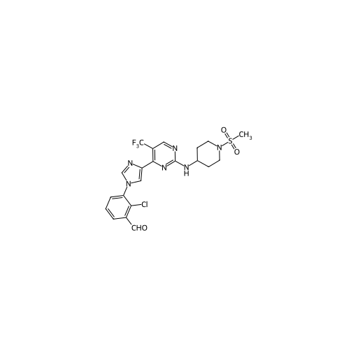 CS(=O)(=O)N1CCC(Nc2ncc(C(F)(F)F)c(-c3cn(-c4cccc(C=O)c4Cl)cn3)n2)CC1